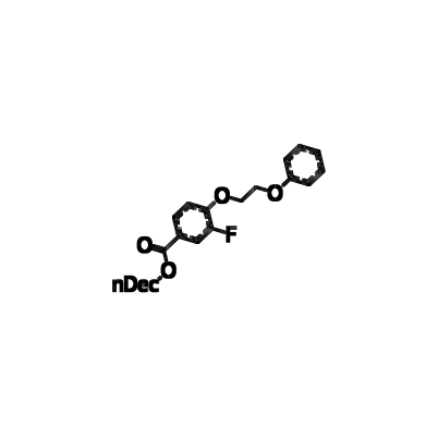 CCCCCCCCCCOC(=O)c1ccc(OCCOc2ccccc2)c(F)c1